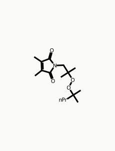 CCCC(C)(C)OOC(C)(C)CN1C(=O)C(C)=C(C)C1=O